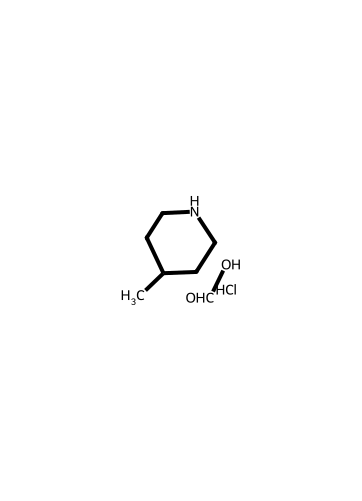 CC1CCNCC1.Cl.O=CO